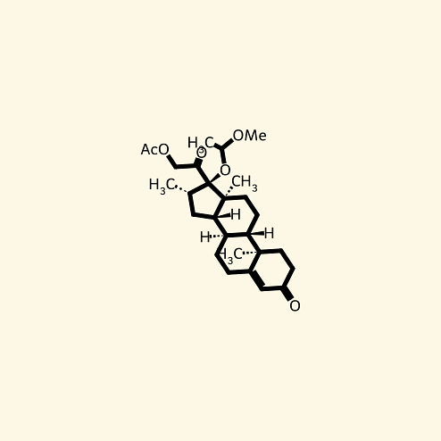 COC(C)O[C@]1(C(=O)COC(C)=O)[C@@H](C)C[C@H]2[C@@H]3CCC4=CC(=O)CC[C@]4(C)[C@H]3CC[C@@]21C